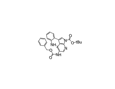 CC(C)(C)OC(=O)n1cc(-c2ccccc2N)c2cc(NC(=O)OCc3ccccc3)cnc21